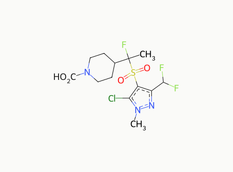 Cn1nc(C(F)F)c(S(=O)(=O)C(C)(F)C2CCN(C(=O)O)CC2)c1Cl